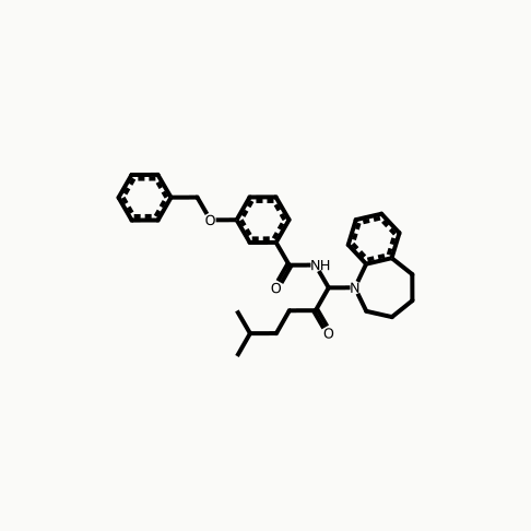 CC(C)CCC(=O)C(NC(=O)c1cccc(OCc2ccccc2)c1)N1CCCCc2ccccc21